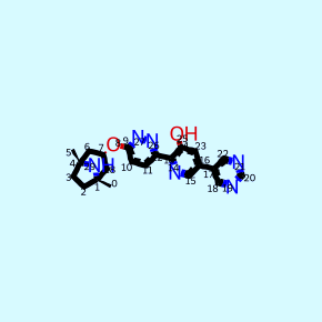 C[C@]12CC[C@](C)(C[C@H](Oc3ccc(-c4ncc(-c5cncnc5)cc4O)nn3)C1)N2